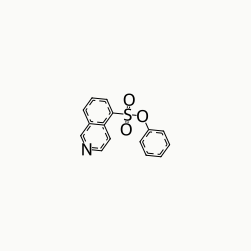 O=S(=O)(Oc1ccccc1)c1cccc2cnccc12